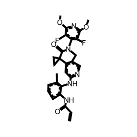 C=CC(=O)Nc1cccc(C)c1Nc1cc2c(cn1)CN(c1c(F)c(OC)nc(OC)c1F)C(=O)C21CC1